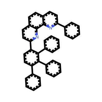 c1ccc(-c2ccc3ccc4ccc(-c5ccc(-c6ccccc6)c(-c6ccccc6)c5-c5ccccc5)nc4c3n2)cc1